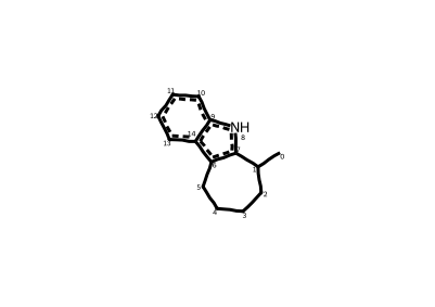 CC1CCCCc2c1[nH]c1ccccc21